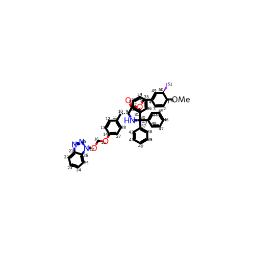 COC1C=CC(COC(=O)[C@@H](Cc2ccc(OCOn3nnc4ccccc43)cc2)NC(c2ccccc2)(c2ccccc2)c2ccccc2)=C[C@H]1I